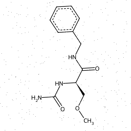 COC[C@@H](NC(N)=O)C(=O)NCc1ccccc1